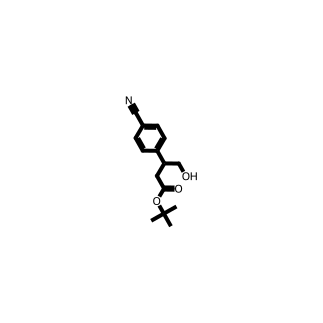 CC(C)(C)OC(=O)CC(CO)c1ccc(C#N)cc1